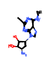 Cc1nc([NH][RaH])c2ncn([C@@H]3C[C@H](N)[C@@H](O)[C@H]3O)c2n1